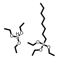 CCCCCCCC[Si](OCC)(OCC)OCC.CCO[SiH](OCC)OCC